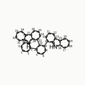 c1ccc(-c2cccc(-c3cccc4c3[nH]c3ccccc34)c2-c2cccc3c2[nH]c2ccccc23)cc1